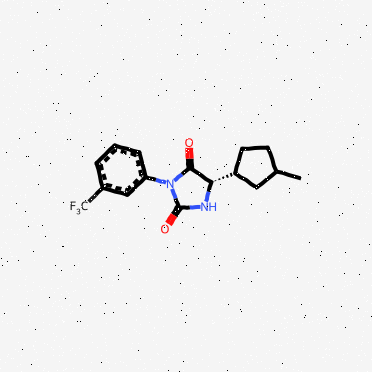 CC1CCC([C@@H]2NC(=O)N(c3cccc(C(F)(F)F)c3)C2=O)C1